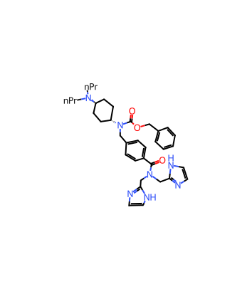 CCCN(CCC)[C@H]1CC[C@H](N(Cc2ccc(C(=O)N(Cc3ncc[nH]3)Cc3ncc[nH]3)cc2)C(=O)OCc2ccccc2)CC1